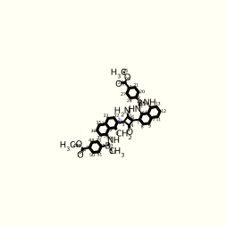 C=c1/c(=C2\C(=O)C(c3ccc4cccc5c4c3NB(c3ccc(C(=O)OC)cc3)N5)=C2N)ccc2cccc(NB(C)c3ccc(C(=O)OC)cc3)c12